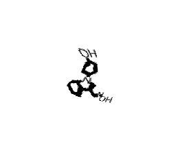 ON=Cc1cn(-c2ccc(O)cc2)c2ccccc12